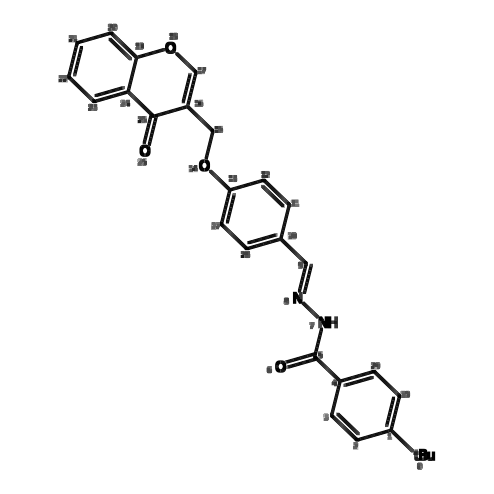 CC(C)(C)c1ccc(C(=O)N/N=C/c2ccc(OCc3coc4ccccc4c3=O)cc2)cc1